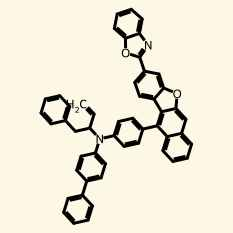 C=CC(Cc1ccccc1)N(c1ccc(-c2ccccc2)cc1)c1ccc(-c2c3ccccc3cc3oc4cc(-c5nc6ccccc6o5)ccc4c23)cc1